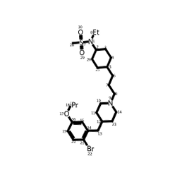 CCN(C1CCC(CCCN2CCC(Cc3cc(OC(C)C)ccc3Br)CC2)CC1)S(C)(=O)=O